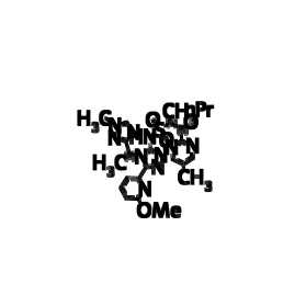 CCCO[C@@H](c1ncc(C)cn1)[C@H](C)S(=O)(=O)Nc1nnc(-c2cccc(OC)n2)n1[C@H](C)c1ncn(C)n1